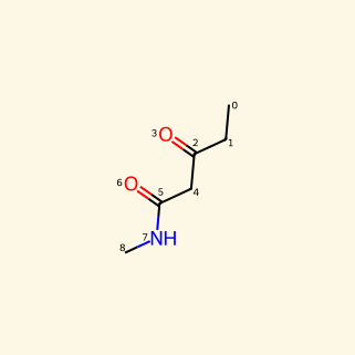 CCC(=O)CC(=O)NC